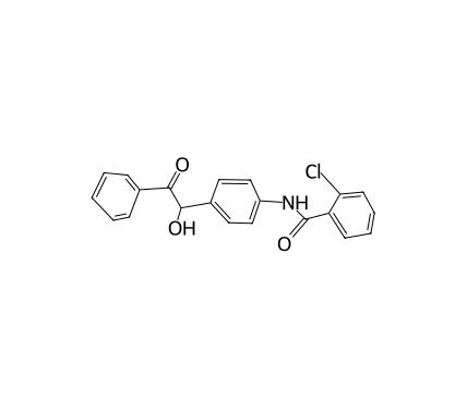 O=C(Nc1ccc(C(O)C(=O)c2ccccc2)cc1)c1ccccc1Cl